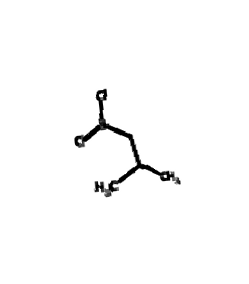 CC(C)CB(Cl)Cl